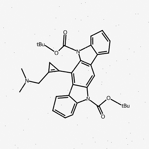 CN(C)CC1=C(c2c3c4ccccc4n(C(=O)OC(C)(C)C)c3cc3c4ccccc4n(C(=O)OC(C)(C)C)c23)C1